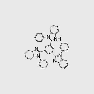 C1=CC2N=C(c3cc(-c4nc5ccccc5n4-c4ccccc4)cc(C4Nc5ccccc5N4c4ccccc4)c3)N(c3ccccc3)C2C=C1